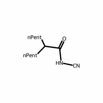 CCCCCC(CCCCC)C(=O)NC#N